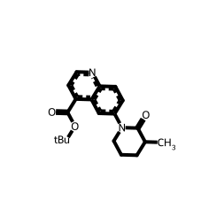 CC1CCCN(c2ccc3nccc(C(=O)OC(C)(C)C)c3c2)C1=O